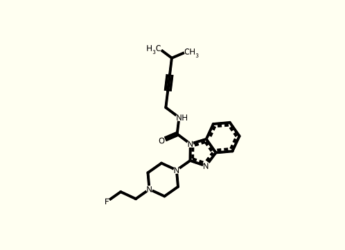 CC(C)C#CCNC(=O)n1c(N2CCN(CCF)CC2)nc2ccccc21